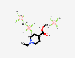 CC(C)(C)OC(=O)C1CCN([CH2][K])CC1.F[B-](F)(F)F.F[B-](F)(F)F.F[B-](F)(F)F